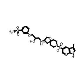 Cc1c[nH]c2ncc(S(=O)(=O)N3CCC4(CC3)C[C@@H](NCC(O)COc3cccc(S(N)(=O)=O)c3)CO4)cc12